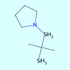 CC(C)([SiH3])[SiH2]N1CCCC1